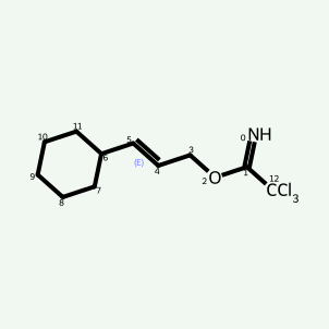 N=C(OC/C=C/C1CCCCC1)C(Cl)(Cl)Cl